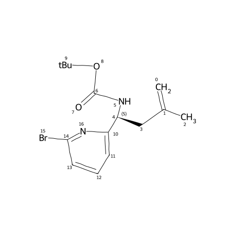 C=C(C)C[C@H](NC(=O)OC(C)(C)C)c1cccc(Br)n1